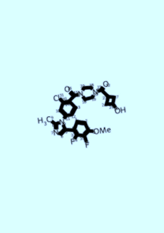 COc1ccc(-c2cnc(C)n2-c2ccc(C(=O)N3CCN(C(=O)C4CC(O)C4)CC3)c(Cl)c2)c(F)c1F